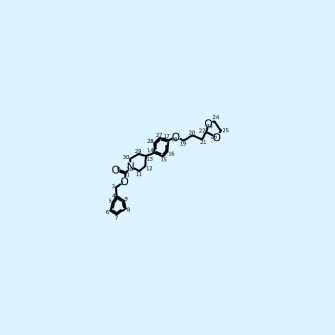 O=C(OCc1ccccc1)N1CCC(c2ccc(OCCCC3OCCO3)cc2)CC1